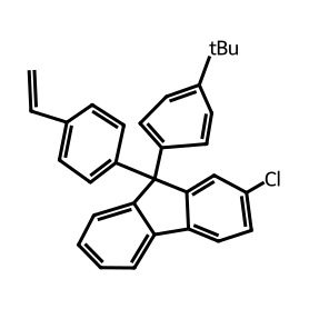 C=Cc1ccc(C2(c3ccc(C(C)(C)C)cc3)c3ccccc3-c3ccc(Cl)cc32)cc1